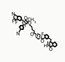 C[C@@](COc1ccc(C#N)cc1)(OCCCCC(=O)N1CCN(C(=O)c2cc(Cc3n[nH]c(=O)c4ccccc34)ccc2F)CC1)C(=O)Nc1ccc(C#N)c(C(F)(F)F)c1